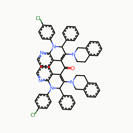 O=C(C1=C(N2CCc3ccccc3C2)C(c2ccccc2)N(c2ccc(Cl)cc2)c2ncccc21)C1=C(N2CCc3ccccc3C2)C(c2ccccc2)N(c2ccc(Cl)cc2)c2ncccc21